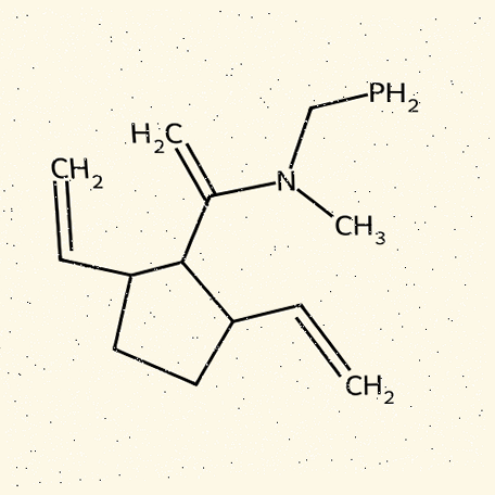 C=CC1CCC(C=C)C1C(=C)N(C)CP